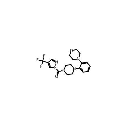 O=C(N1CCN(c2ccccc2N2CCOCC2)CC1)n1cc(C(F)(F)F)cn1